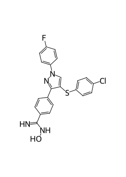 N=C(NO)c1ccc(-c2nn(-c3ccc(F)cc3)cc2Sc2ccc(Cl)cc2)cc1